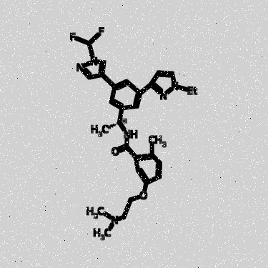 CCn1ccc(-c2cc(-c3cnn(C(F)F)c3)cc([C@@H](C)NC(=O)c3cc(OCCN(C)C)ccc3C)c2)n1